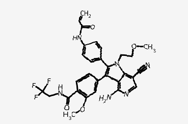 C=CC(=O)Nc1ccc(-c2c(-c3ccc(C(=O)NCC(F)(F)F)c(OC)c3)c3c(N)ncc(C#N)c3n2CCOC)cc1